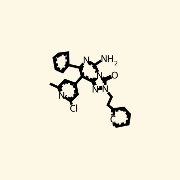 Cc1cc(-c2c(-c3ccccc3)nc(N)n3c(=O)n(CCc4ccccc4)nc23)cc(Cl)n1